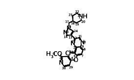 COc1cc(Oc2ccc3ncc(-c4cnn(CC5CCNCC5)c4)nc3c2Cl)ccn1